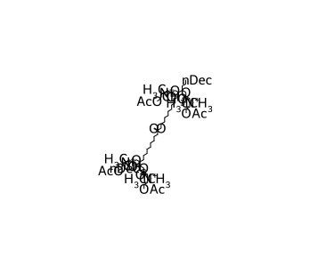 CCCCCCCCCCCCC(OC(=O)C[N+](C)(C)CCOC(C)=O)C(CCCCCCCCCCOC(=O)CCCCCCCCCC(OC(=O)C[N+](C)(C)CCOC(C)=O)C(CCCCCCCCCC)OC(=O)C[N+](C)(C)CCOC(C)=O)OC(=O)C[N+](C)(C)CCOC(C)=O